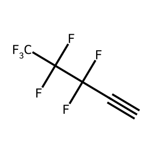 C#CC(F)(F)C(F)(F)C(F)(F)F